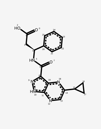 O=C(O)C[C@H](NC(=O)c1n[nH]c2ncc(C3CC3)nc12)c1ccccc1